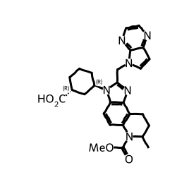 COC(=O)N1c2ccc3c(nc(Cn4ccc5nccnc54)n3[C@@H]3CCC[C@@H](C(=O)O)C3)c2CCC1C